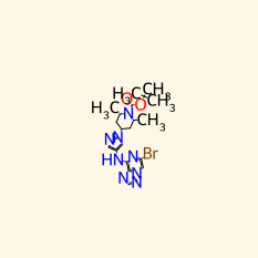 CC1CC(n2cc(Nc3nc(Br)cn4ncnc34)cn2)CC(C)N1C(=O)OC(C)(C)C